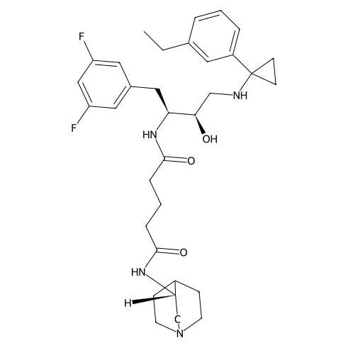 CCc1cccc(C2(NC[C@@H](O)[C@H](Cc3cc(F)cc(F)c3)NC(=O)CCCC(=O)N[C@H]3CN4CCC3CC4)CC2)c1